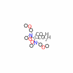 O=C(O)CC1C(CC(=O)O)C(C(=O)N(Cc2ccccc2)Cc2ccc(Oc3ccccc3)cc2)C1C(=O)N(Cc1ccccc1)Cc1ccc(Oc2ccccc2)cc1